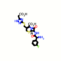 NC(C(=O)NC1C(=O)N2C(C(=O)O)=C(CSc3n[nH]c(CC(=O)O)n3)CS[C@H]12)c1cccc(F)c1